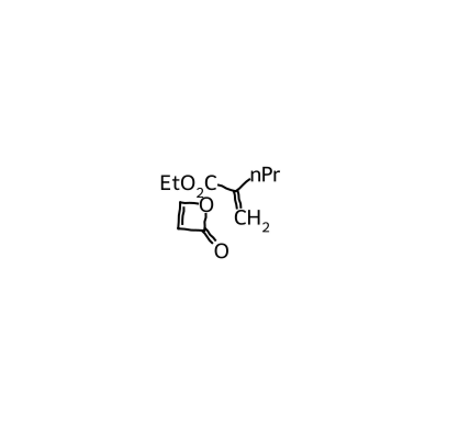 C=C(CCC)C(=O)OCC.O=C1C=CO1